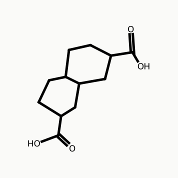 O=C(O)C1CCC2CCC(C(=O)O)CC2C1